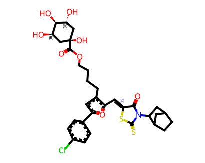 O=C1/C(=C/c2oc(-c3ccc(Cl)cc3)cc2CCCCOC(=O)[C@]2(O)C[C@@H](O)[C@@H](O)[C@H](O)C2)SC(=S)N1C1CC2CCC1C2